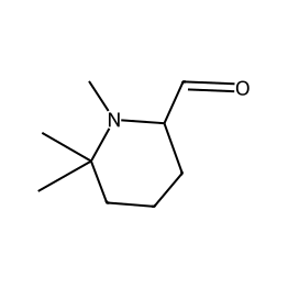 CN1C(C=O)CCCC1(C)C